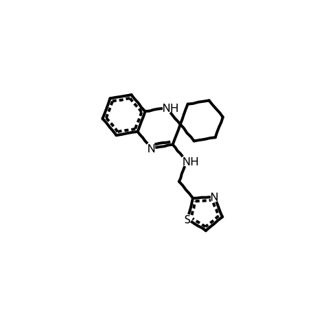 c1ccc2c(c1)N=C(NCc1nccs1)C1(CCCCC1)N2